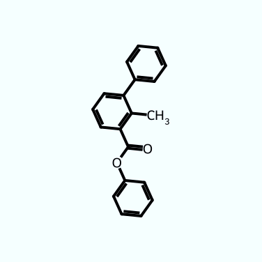 Cc1c(C(=O)Oc2ccccc2)cccc1-c1ccccc1